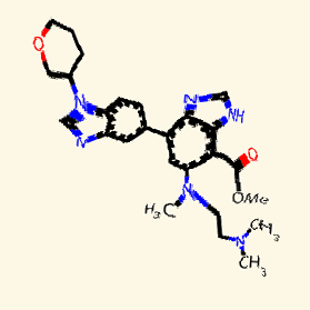 COC(=O)c1c(N(C)CCN(C)C)cc(-c2ccc3c(c2)ncn3C2CCCOC2)c2nc[nH]c12